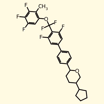 Cc1c(OC(F)(F)c2c(F)cc(-c3ccc(C4CCC(C5CCCC5)CO4)cc3)cc2F)cc(F)c(F)c1F